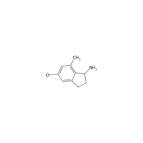 Cc1cc(Cl)cc2c1C(N)CC2